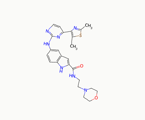 Cc1nc(-c2ccnc(Nc3ccc4[nH]c(C(=O)NCCN5CCOCC5)cc4c3)n2)c(C)s1